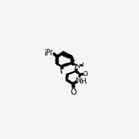 CC(C)c1ccc(N(I)C2CCC(=O)NC2=O)c(I)c1